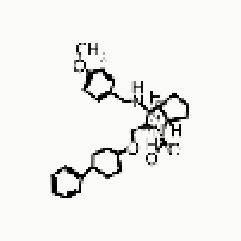 COc1ccc(CN[C@H]2[C@H]3CCC[C@H]3N(C(=O)O)[C@H]2COC2CCC(c3ccccc3)CC2)cc1